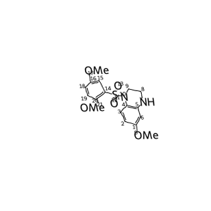 COc1ccc2c(c1)NCCN2S(=O)(=O)c1cc(OC)ccc1OC